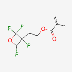 C=C(C)C(=O)OCCC1(F)C(F)OC1(F)F